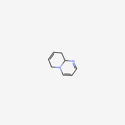 C1=CN2CC=CCC2N=C1